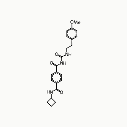 COc1ccc(CCNC(=O)NC(=O)c2ccc(C(=O)NC3CCC3)cc2)cc1